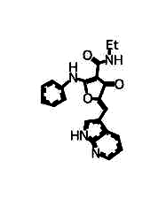 CCNC(=O)C1=C(Nc2ccccc2)OC(=Cc2c[nH]c3ncccc23)C1=O